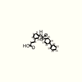 O=C(O)C=Cc1cccc(NS(=O)(=O)c2ccc(-c3ccccc3)cc2)c1